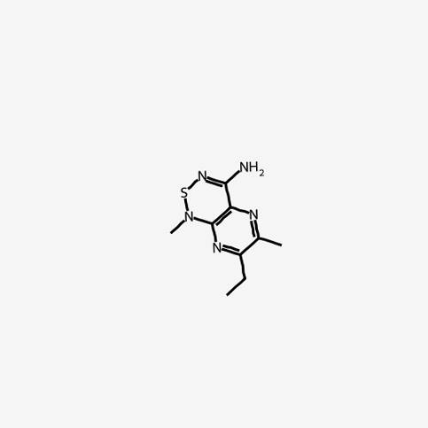 CCc1nc2c(nc1C)C(N)=NSN2C